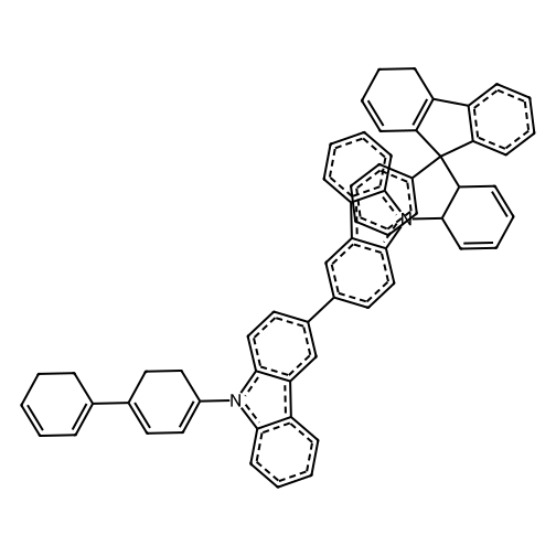 C1=CCCC(C2=CC=C(n3c4ccccc4c4cc(-c5ccc6c(c5)c5ccccc5n6C5C=CC=CC5C5(c6ccccc6)C6=C(CCC=C6)c6ccccc65)ccc43)CC2)=C1